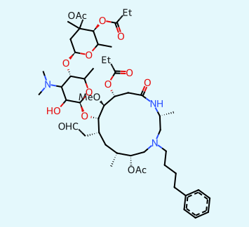 CCC(=O)O[C@@H]1CC(=O)N[C@H](C)CN(CCCCc2ccccc2)C[C@H](OC(C)=O)[C@H](C)C[C@H](CC=O)[C@H](O[C@@H]2OC(C)[C@@H](O[C@H]3CC(C)(OC(C)=O)[C@@H](OC(=O)CC)C(C)O3)C(N(C)C)C2O)[C@H]1OC